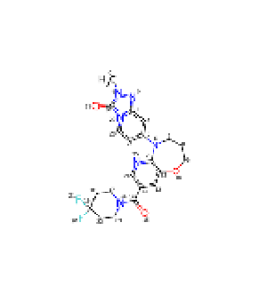 Cn1nc2cc(N3CCCOc4cc(C(=O)N5CCC(F)(F)CC5)cnc43)ccn2c1=O